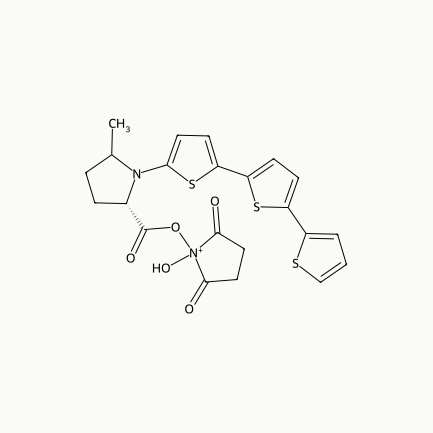 CC1CC[C@@H](C(=O)O[N+]2(O)C(=O)CCC2=O)N1c1ccc(-c2ccc(-c3cccs3)s2)s1